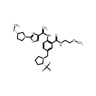 C=C(Nc1ccc(CN2CCC[C@H]2C(F)(F)F)cc1C(=O)NCCOC)c1csc(N2CC[C@H](OC)C2)n1